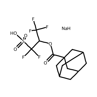 O=C(OC(C(F)(F)F)C(F)(F)S(=O)(=O)O)C12CC3CC(CC(C3)C1)C2.[NaH]